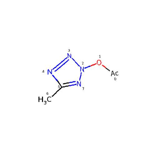 CC(=O)On1nnc(C)n1